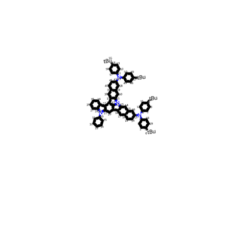 CC(C)(C)c1ccc(N(c2ccc(C(C)(C)C)cc2)c2ccc3cc4c5cc6c(c7ccccc7n6-c6ccccc6)c6c7cc8ccc(N(c9ccc(C(C)(C)C)cc9)c9ccc(C(C)(C)C)cc9)cc8cc7n(c4cc3c2)c56)cc1